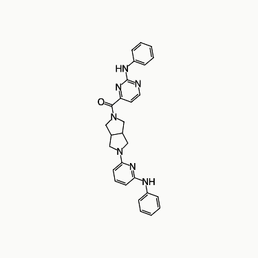 O=C(c1ccnc(Nc2ccccc2)n1)N1CC2CN(c3cccc(Nc4ccccc4)n3)CC2C1